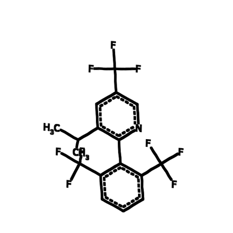 CC(C)c1cc(C(F)(F)F)cnc1-c1c(C(F)(F)F)cccc1C(F)(F)F